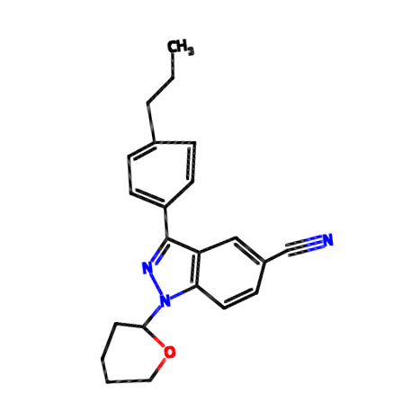 CCCc1ccc(-c2nn(C3CCCCO3)c3ccc(C#N)cc23)cc1